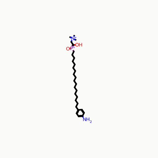 C[N+](C)(C)C/C(O)=[P+](\[O-])CCCCCCCCCCCCCCCCCCc1ccc(N)cc1